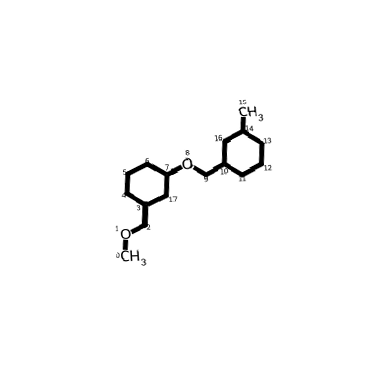 COCC1CCCC(OCC2CCCC(C)C2)C1